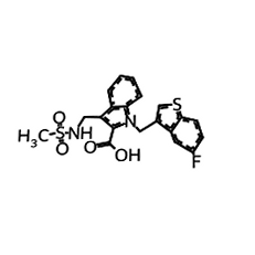 CS(=O)(=O)NCc1c(C(=O)O)n(Cc2csc3ccc(F)cc23)c2ccccc12